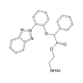 CC(=O)NCCOC(=O)C(Oc1ccccc1-n1nc2ccccc2n1)c1ccccc1